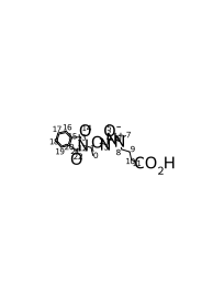 CC(ON=[N+]([O-])N(C)CCCC(=O)O)N1C(=O)c2ccccc2C1=O